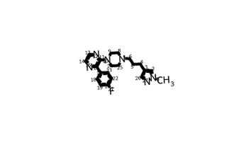 Cn1cc(CCCN2CCN(c3nccnc3-c3ccc(F)cc3)CC2)cn1